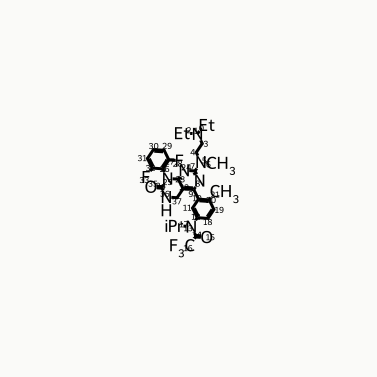 CCN(CC)CCN(C)c1nc(-c2cc(N(C(=O)C(F)(F)F)C(C)C)ccc2C)c2c(n1)N(c1c(F)cccc1F)C(=O)NC2